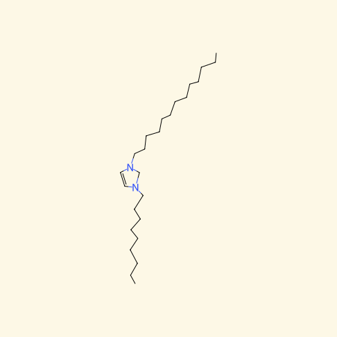 CCCCCCCCCCCCCN1C=CN(CCCCCCCCC)C1